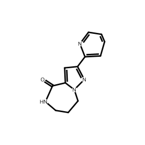 O=C1NCCCn2nc(-c3ccccn3)cc21